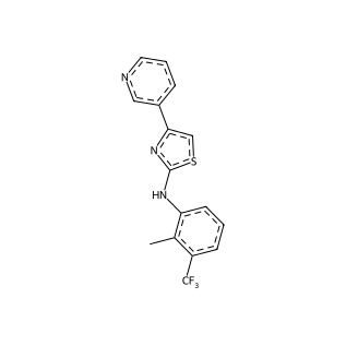 Cc1c(Nc2nc(-c3cccnc3)cs2)cccc1C(F)(F)F